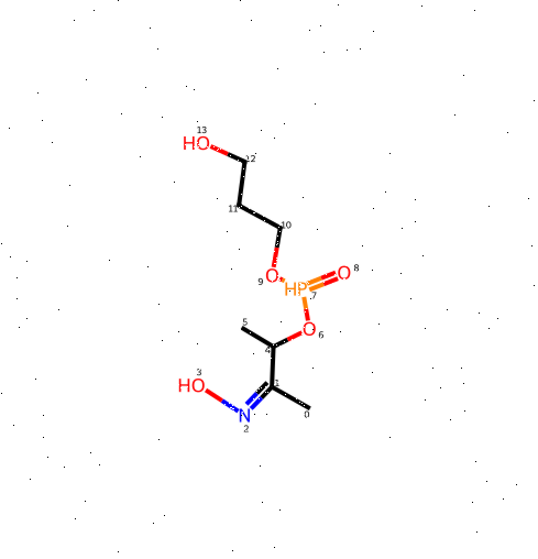 CC(=NO)C(C)O[PH](=O)OCCCO